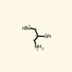 CCCCCC(CN)CCC